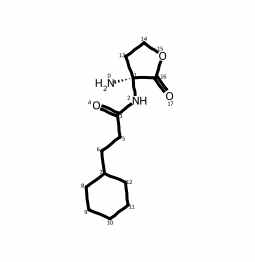 N[C@]1(NC(=O)CCC2CCCCC2)CCOC1=O